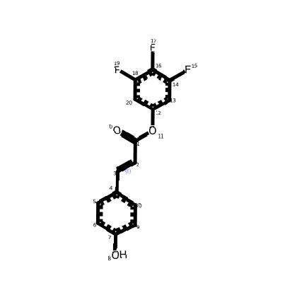 O=C(/C=C/c1ccc(O)cc1)Oc1cc(F)c(F)c(F)c1